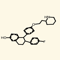 Oc1ccc2c(c1)CCC(c1ccc(F)cc1)C2c1ccc(OCCC2CCCCN2)cc1